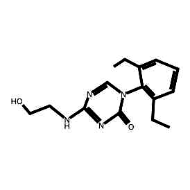 CCc1cccc(CC)c1-n1cnc(NCCO)nc1=O